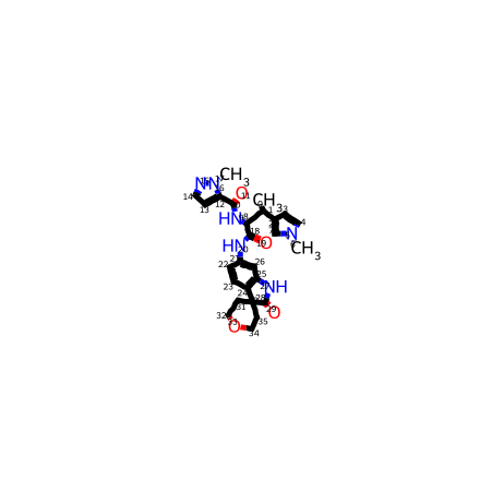 CC(c1ccn(C)c1)C(NC(=O)c1ccnn1C)C(=O)Nc1ccc2c(c1)NC(=O)C21CCOCC1